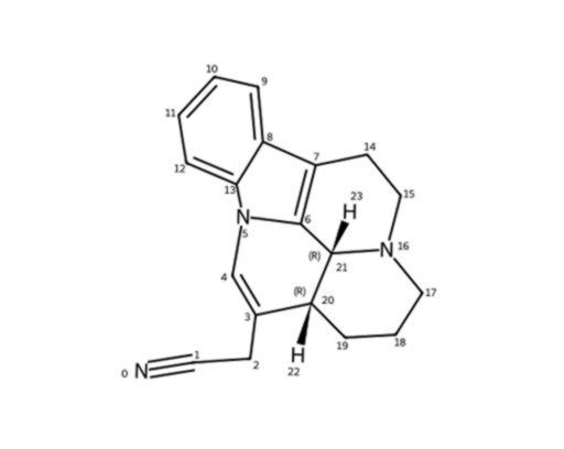 N#CCC1=Cn2c3c(c4ccccc42)CCN2CCC[C@H]1[C@H]32